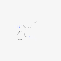 CC(=O)NCCc1c[nH]c2cccc(N)c12